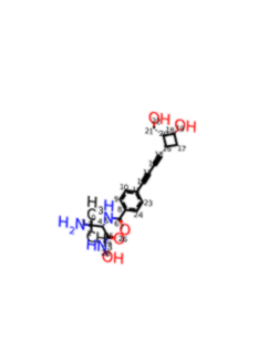 CC(C)(N)[C@H](NC(=O)c1ccc(C#CC#C[C@H]2C[C@H](O)[C@H]2CO)cc1)C(=O)NO